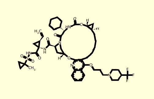 C=C[C@@H]1C[C@]1(NC(=O)[C@@H]1C[C@@H]2CN1C(=O)[C@H](C1CCCCC1)NC(=O)O[C@@H]1C[C@H]1CCCCCc1c(nc3ccccc3c1OCCCN1CCC(C(F)(F)F)CC1)O2)C(=O)NS(=O)(=O)C1(C)CC1